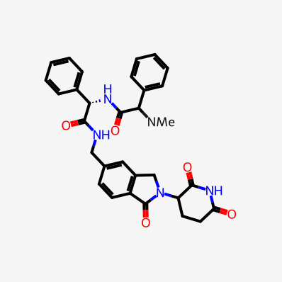 CNC(C(=O)N[C@H](C(=O)NCc1ccc2c(c1)CN(C1CCC(=O)NC1=O)C2=O)c1ccccc1)c1ccccc1